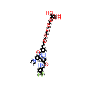 CCN(CC)c1ccc(NC(=O)c2cccc(CCCOCCOCCOCCOCCOCC(CO)(CO)CO)c2)c(-c2cc(C(=O)NCc3cccc(C(F)(F)F)c3)ccn2)c1